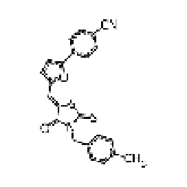 Cc1ccc(CN2C(=O)C(=Cc3ccc(-c4ccc(C#N)cc4)o3)SC2=S)cc1